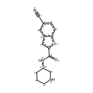 N#Cc1ccc2sc(C(=O)N[C@@H]3CCCNC3)cc2c1